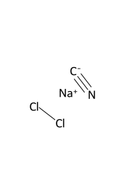 ClCl.[C-]#N.[Na+]